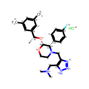 C[C@@H](O[C@H]1OCCN(Cc2nn[nH]c2CN(C)C)[C@H]1c1ccc(F)cc1)c1cc(C(F)(F)F)cc(C(F)(F)F)c1.Cl